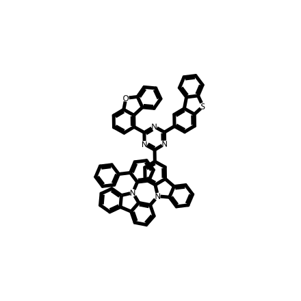 c1ccc(-c2ccccc2-n2c3ccccc3c3cccc(-n4c5ccccc5c5cc(-c6nc(-c7ccc8sc9ccccc9c8c7)nc(-c7cccc8oc9ccccc9c78)n6)ccc54)c32)cc1